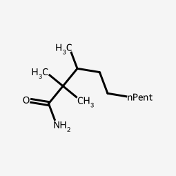 CCCCCCCC(C)C(C)(C)C(N)=O